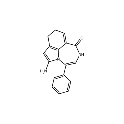 Nc1cc2c3n1C(c1ccccc1)=CNC(=O)C3=CCC2